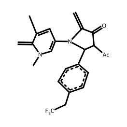 C=C1C(C)=CC(N2C(=C)C(=O)C(C(C)=O)C2c2ccc(CC(F)(F)F)cc2)=CN1C